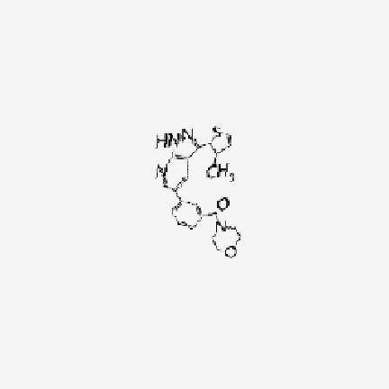 CC1C=CSC1c1n[nH]c2ncc(-c3cccc(C(=O)N4CCOCC4)c3)cc12